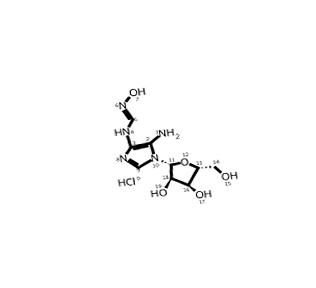 Cl.Nc1c(NC=NO)ncn1[C@@H]1O[C@H](CO)[C@@H](O)[C@H]1O